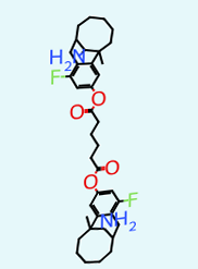 CC12CCCCCC(Cc3c(F)cc(OC(=O)CCCCC(=O)Oc4cc(F)c5c(c4)C4(C)CCCCCC(C5)C4N)cc31)C2N